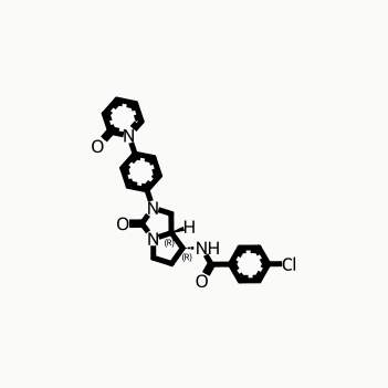 O=C(N[C@@H]1CCN2C(=O)N(c3ccc(-n4ccccc4=O)cc3)C[C@H]12)c1ccc(Cl)cc1